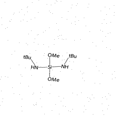 CO[Si](NC(C)(C)C)(NC(C)(C)C)OC